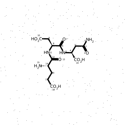 NC(=O)C[C@H](NC(=O)[C@H](CC(=O)O)NC(=O)[C@@H](N)CCC(=O)O)C(=O)O